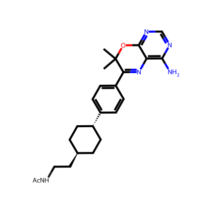 CC(=O)NCC[C@H]1CC[C@H](c2ccc(C3=Nc4c(N)ncnc4OC3(C)C)cc2)CC1